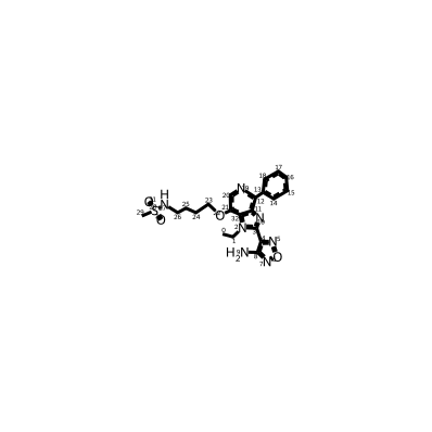 CCn1c(-c2nonc2N)nc2c(-c3ccccc3)ncc(OCCCCNS(C)(=O)=O)c21